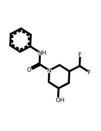 O=C(Nc1ccccc1)N1CC(O)CC(C(F)F)C1